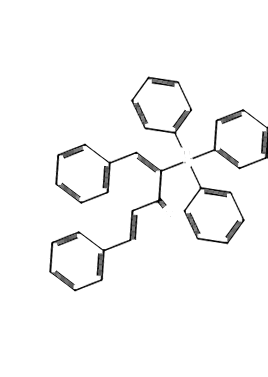 O=C(C=Cc1ccccc1)C(=Cc1ccccc1)[PH](c1ccccc1)(c1ccccc1)c1ccccc1